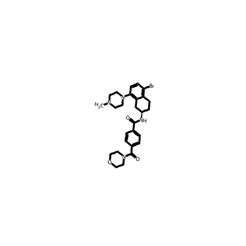 CN1CCN(c2ccc(Br)c3c2C[C@H](NC(=O)c2ccc(C(=O)N4CCOCC4)cc2)CC3)CC1